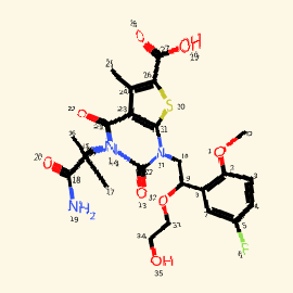 COc1ccc(F)cc1C(Cn1c(=O)n(C(C)(C)C(N)=O)c(=O)c2c(C)c(C(=O)O)sc21)OCCO